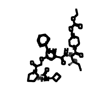 CCOC(=O)ON1CCN(C(=O)[C@@H](NC(=O)c2cc(OCC(=O)N3CCC[C@H]3C(=O)NC3CCC3)n(-c3ccccc3)n2)[C@@H](C)CC)CC1